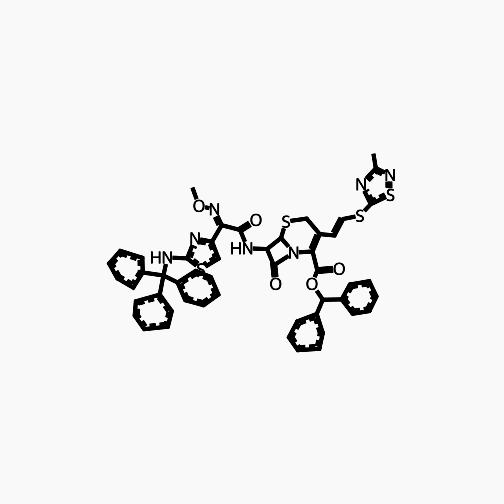 CO/N=C(/C(=O)NC1C(=O)N2C(C(=O)OC(c3ccccc3)c3ccccc3)=C(/C=C/Sc3nc(C)ns3)CSC12)c1csc(NC(c2ccccc2)(c2ccccc2)c2ccccc2)n1